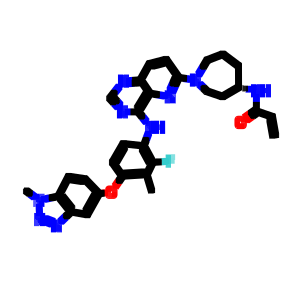 C=CC(=O)N[C@H]1CCCN(c2ccc3ncnc(Nc4ccc(Oc5ccc6c(c5)nnn6C)c(C)c4F)c3n2)CC1